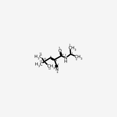 CC(C)NC(=O)/C(C#N)=C/C(C)(C)C